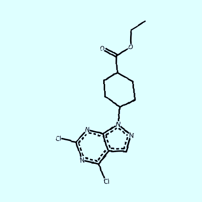 CCOC(=O)C1CCC(n2ncc3c(Cl)nc(Cl)nc32)CC1